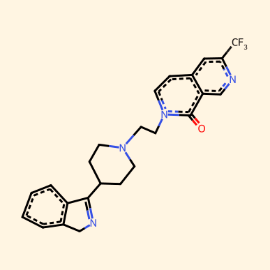 O=c1c2cnc(C(F)(F)F)cc2ccn1CCN1CCC(C2=NCc3ccccc32)CC1